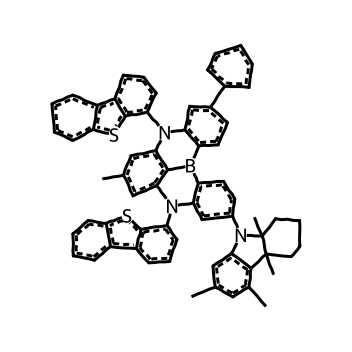 Cc1cc2c3c(c1)N(c1cccc4c1sc1ccccc14)c1cc(N4c5cc(C)cc(C)c5C5(C)CCCCC45C)ccc1B3c1ccc(-c3ccccc3)cc1N2c1cccc2c1sc1ccccc12